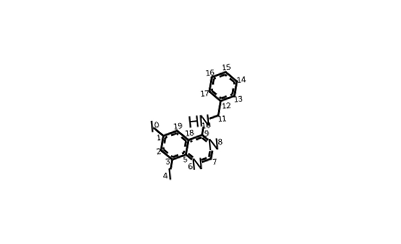 Ic1cc(I)c2ncnc(NCc3ccccc3)c2c1